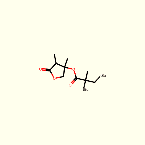 CC1C(=O)OCC1(C)OC(=O)C(C)(CC(C)(C)C)C(C)(C)C